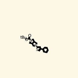 CC(C)(C)OC(=O)N1CC2CN(c3cc(-c4ccccc4)cs3)CC2C1